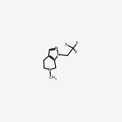 CN1CCc2cnn(CC(F)(F)F)c2C1